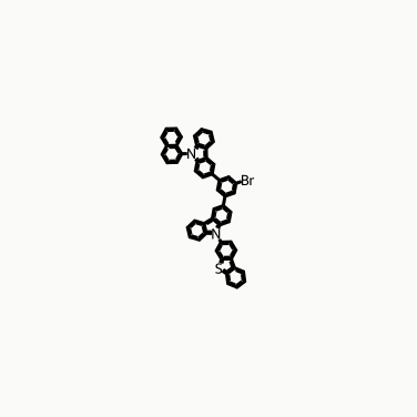 Brc1cc(-c2ccc3c(c2)c2ccccc2n3-c2ccc3c(c2)sc2ccccc23)cc(-c2ccc3c(c2)c2ccccc2n3-c2cccc3ccccc23)c1